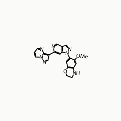 COc1cc2c(cc1-n1ncc3cnc(-c4cnn5cccnc45)cc31)OCCN2